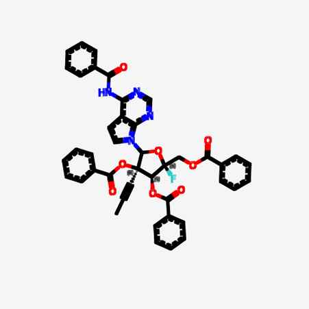 CC#C[C@]1(OC(=O)c2ccccc2)C(n2ccc3c(NC(=O)c4ccccc4)ncnc32)O[C@](F)(COC(=O)c2ccccc2)[C@H]1OC(=O)c1ccccc1